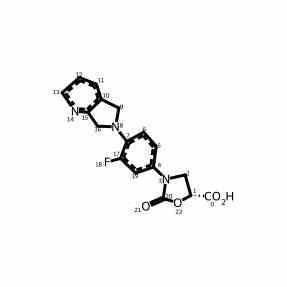 O=C(O)[C@H]1CN(c2ccc(N3Cc4cccnc4C3)c(F)c2)C(=O)O1